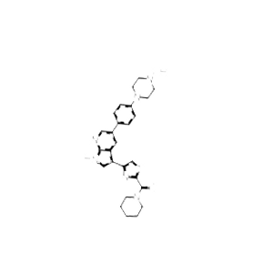 CN1CCN(c2ccc(-c3cnc4[nH]cc(-c5csc(C(=O)N6CCCCC6)n5)c4c3)cc2)CC1